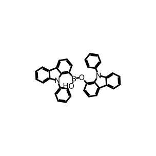 OB(Oc1cccc2c3ccccc3n(-c3ccccc3)c12)c1cccc2c3ccccc3n(-c3ccccc3)c12